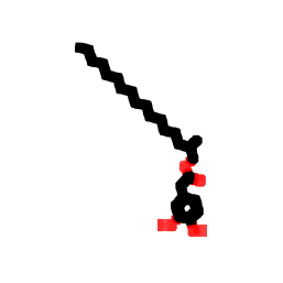 CCCCCCCCCCCCCCCC(C)COC(=O)Cc1ccc(O)c(O)c1